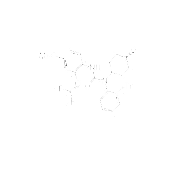 COc1ccc(NC(=O)N(c2ccccc2C(C)C)C2CCC(=O)CC2)c(OC(F)F)n1